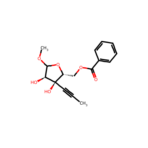 CC#C[C@@]1(O)[C@@H](COC(=O)c2ccccc2)OC(OC)[C@@H]1O